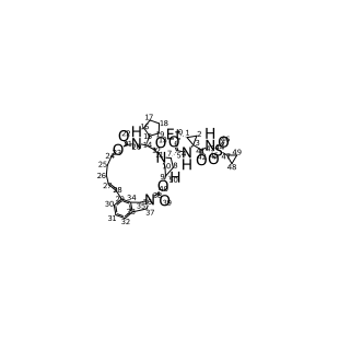 CC[C@@H]1C[C@]1(NC(=O)[C@@H]1C[C@@H]2CN1C(=O)[C@H](C1CCCC1)NC(=O)OCCC/C=C/c1cccc3c1CN(C3)C(=O)O2)C(=O)NS(=O)(=O)C1CC1